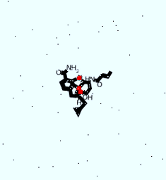 C/C=C/C(=O)N[C@@H]1CC[C@@]2(O)[C@H]3Cc4ccc(C(N)=O)c5c4[C@@]2(CCN3CC2CC2)[C@H]1O5